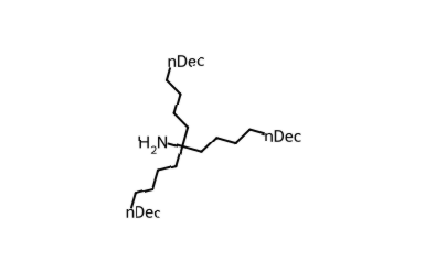 CCCCCCCCCCCCCCC(N)(CCCCCCCCCCCCCC)CCCCCCCCCCCCCC